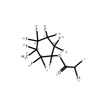 CCC(I)C(=O)OC1(F)C(F)(F)C(C)(F)C(F)(F)C(F)(F)C1(F)F